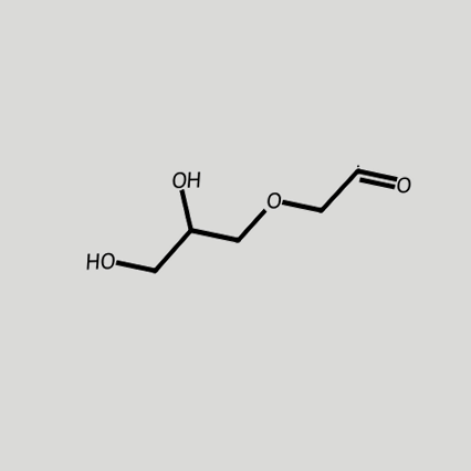 O=[C]COCC(O)CO